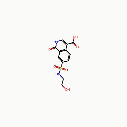 O=C(O)c1c[nH]c(=O)c2cc(S(=O)(=O)NCCO)ccc12